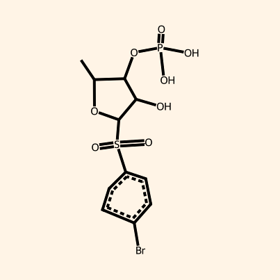 CC1OC(S(=O)(=O)c2ccc(Br)cc2)C(O)C1OP(=O)(O)O